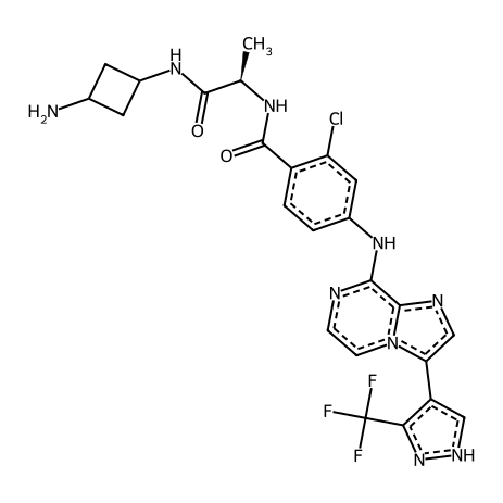 C[C@@H](NC(=O)c1ccc(Nc2nccn3c(-c4c[nH]nc4C(F)(F)F)cnc23)cc1Cl)C(=O)NC1CC(N)C1